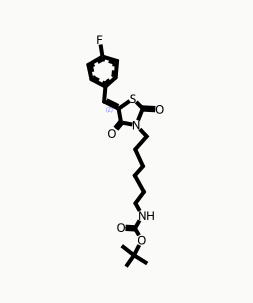 CC(C)(C)OC(=O)NCCCCCCN1C(=O)S/C(=C\c2ccc(F)cc2)C1=O